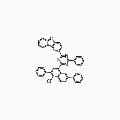 Clc1c(-c2ccccc2)cc(-c2nc(-c3ccccc3)nc(-c3ccc4oc5ccccc5c4c3)n2)c2cc(-c3ccccc3)ccc12